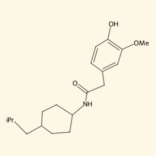 COc1cc(CC(=O)NC2CCC(CC(C)C)CC2)ccc1O